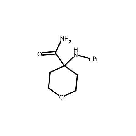 CCCNC1(C(N)=O)CCOCC1